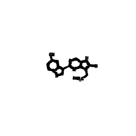 CCOC(=O)Cn1c(=O)[nH]c2cnc(-c3cnn4ccc(C#N)cc34)nc21